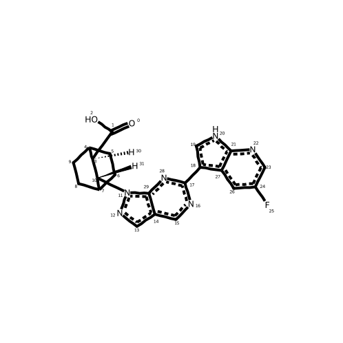 O=C(O)[C@@H]1C2CCC(CC2)[C@H]1n1ncc2cnc(-c3c[nH]c4ncc(F)cc34)nc21